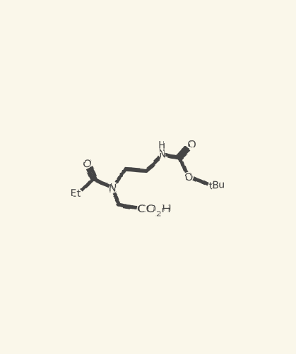 CCC(=O)N(CCNC(=O)OC(C)(C)C)CC(=O)O